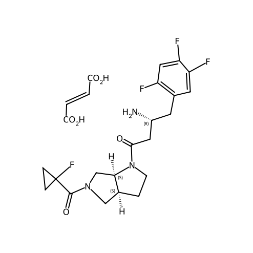 N[C@@H](CC(=O)N1CC[C@H]2CN(C(=O)C3(F)CC3)C[C@H]21)Cc1cc(F)c(F)cc1F.O=C(O)C=CC(=O)O